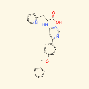 O=C(O)C(Cc1ccccn1)Nc1cc(-c2ccc(OCc3ccccc3)cc2)ncn1